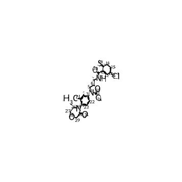 Cc1cc(N2CC(CNC(=O)C3=CC(Cl)=CCC3=S)OC2=O)ccc1N1CCOCC1=O